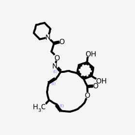 CC1/C=C/CCCOC(=O)c2c(O)cc(O)cc2CC(=N\OCC(=O)N2CCCCC2)/C=C/C1